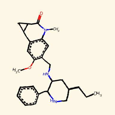 CCCC1CNC(c2ccccc2)C(NCc2cc3c(cc2OC)C2CC2C(=O)N3C)C1